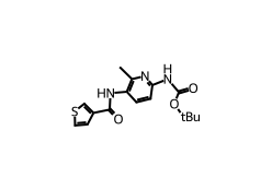 Cc1nc(NC(=O)OC(C)(C)C)ccc1NC(=O)c1ccsc1